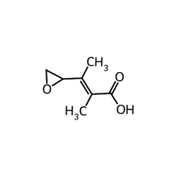 C/C(C(=O)O)=C(/C)C1CO1